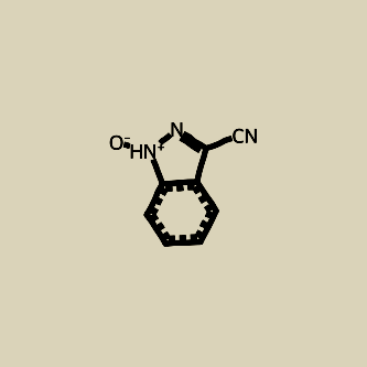 N#CC1=N[NH+]([O-])c2ccccc21